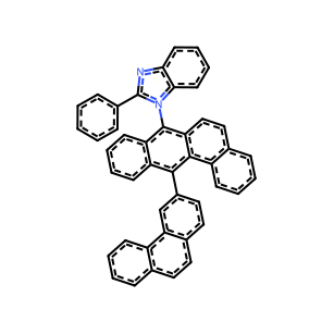 c1ccc(-c2nc3ccccc3n2-c2c3ccccc3c(-c3ccc4ccc5ccccc5c4c3)c3c2ccc2ccccc23)cc1